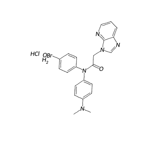 CN(C)c1ccc(N(C(=O)Cn2cnc3cccnc32)c2ccc(Br)cc2)cc1.Cl.O